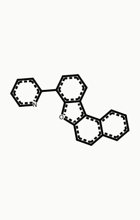 c1ccc(-c2cccc3c2oc2ccc4ccccc4c23)nc1